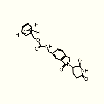 O=C1CC[C@@H](N2Cc3ccc(CNC(=O)OC[C@@H]4C[C@@H]5C=C[C@H]4CC5)cc3C2=O)C(=O)N1